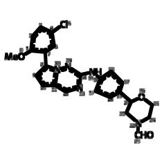 COc1ccc(Cl)cc1-c1ccc2cnc(Nc3ccc(C4CN(C=O)CCO4)cc3)nn12